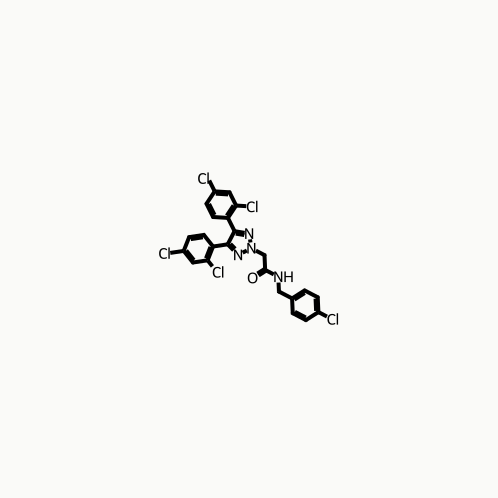 O=C(Cn1nc(-c2ccc(Cl)cc2Cl)c(-c2ccc(Cl)cc2Cl)n1)NCc1ccc(Cl)cc1